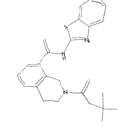 C=C(Nc1nc2ccccc2s1)c1cccc2c1CN(C(=C)CC(C)(C)C)CC2